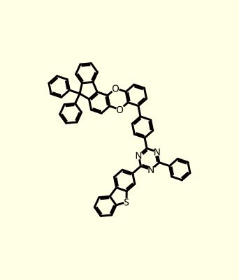 c1ccc(-c2nc(-c3ccc(-c4cccc5c4Oc4ccc6c(c4O5)-c4ccccc4C6(c4ccccc4)c4ccccc4)cc3)nc(-c3ccc4c(c3)sc3ccccc34)n2)cc1